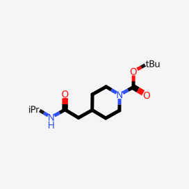 CC(C)NC(=O)CC1CCN(C(=O)OC(C)(C)C)CC1